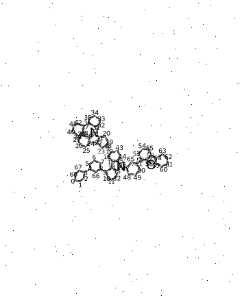 c1ccc(-c2cccc(-c3cccc4c3c3cc(-c5ccc6c(c5)c5ccccc5n6-c5ccccc5-c5ccccc5)ccc3n4-c3cccc(-c4cccc5c4oc4ccccc45)c3)c2)cc1